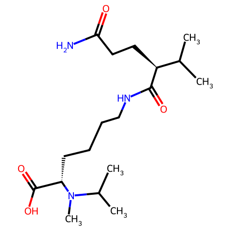 CC(C)[C@H](CCC(N)=O)C(=O)NCCCC[C@@H](C(=O)O)N(C)C(C)C